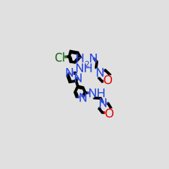 Clc1cccc(Nc2nccc(-c3ccnc(NCCN4CCOCC4)c3)n2)c1.NCCN1CCOCC1